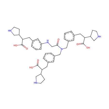 O=C(O)C(Cc1cccc(CN(Cc2cccc(CC(C(=O)O)C3CCNC3)c2)C(=O)CNc2cccc(CC(C(=O)O)C3CCNC3)c2)c1)C1CCNC1